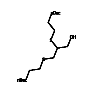 CCCCCCCCCCCCSCC(CO)SCCCCCCCCCCCC